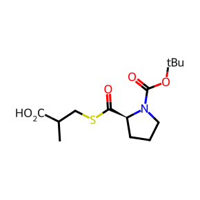 CC(CSC(=O)[C@@H]1CCCN1C(=O)OC(C)(C)C)C(=O)O